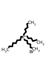 CCCCCCCC[P+](CCCCCC)(CCCCCC)CCCCCC.[Br-]